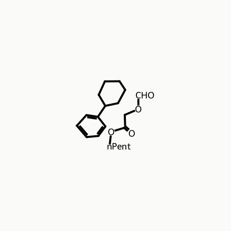 CCCCCOC(=O)COC=O.c1ccc(C2CCCCC2)cc1